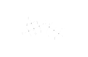 CC(C)(F)C(F)(C(F)(F)F)C(F)(F)OC(C)(C)C(F)(F)C(F)(F)F